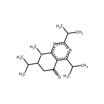 CC(C)c1nc(C(C)C)c2c(n1)N(C)C(C(C)C)CC2=O